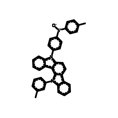 Cc1ccc([S+]([O-])c2ccc(-n3c4ccccc4c4c3ccc3c5ccccc5n(-c5cccc(C)c5)c34)cc2)cc1